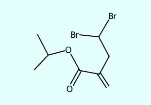 C=C(CC(Br)Br)C(=O)OC(C)C